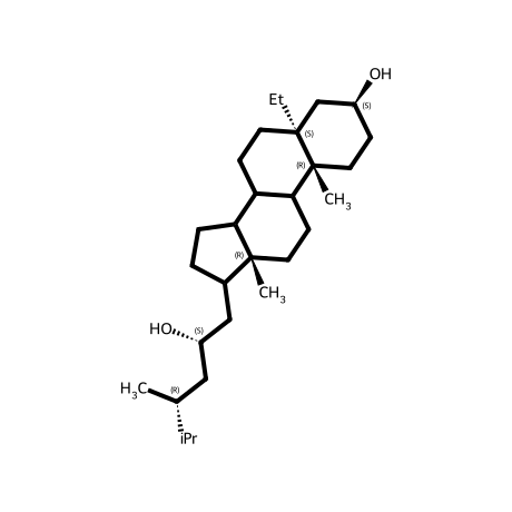 CC[C@@]12CCC3C4CCC(C[C@@H](O)C[C@@H](C)C(C)C)[C@@]4(C)CCC3[C@@]1(C)CC[C@H](O)C2